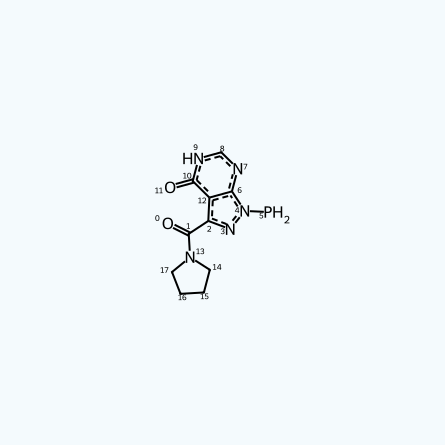 O=C(c1nn(P)c2nc[nH]c(=O)c12)N1CCCC1